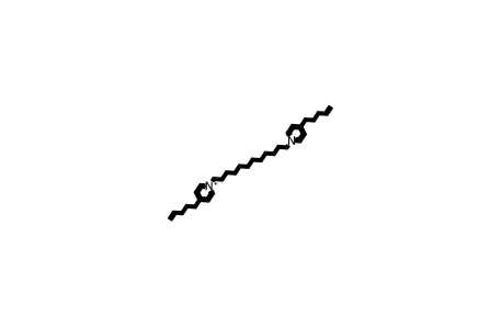 C=CCCCc1cc[n+](CCCCCCCCCCCC[n+]2ccc(CCCC=C)cc2)cc1